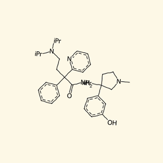 CC(C)N(CCC(C(N)=O)(c1ccccc1)c1ccccn1)C(C)C.CCCC1(c2cccc(O)c2)CCN(C)C1